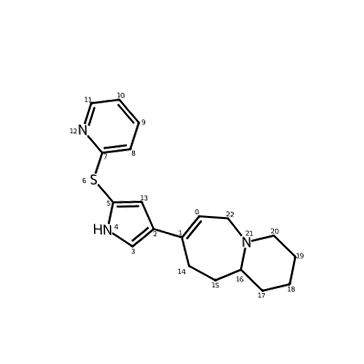 C1=C(c2c[nH]c(Sc3ccccn3)c2)CCC2CCCCN2C1